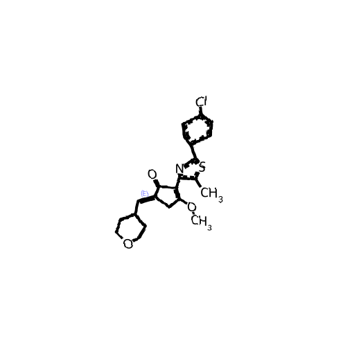 COC1=C(c2nc(-c3ccc(Cl)cc3)sc2C)C(=O)/C(=C/C2CCOCC2)C1